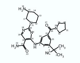 CC(C)(C#N)c1cc(Nc2nc(N3CCCC(N)C3)ncc2C(N)=O)cc(C(=O)N2CCCC2)c1